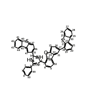 c1ccc(C2=NC(c3cccc4c3oc3ccc(-c5cccc6c5sc5ccccc56)cc34)NC(c3ccc4sc5ccccc5c4c3)N2)cc1